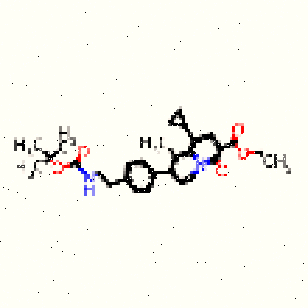 CCOC(=O)c1cc(C2CC2)c2c(C)c(-c3ccc(CCNC(=O)OC(C)(C)C)cc3)ccn2c1=O